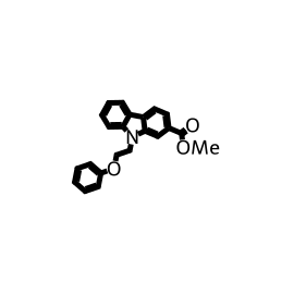 COC(=O)c1ccc2c3ccccc3n(CCOc3ccccc3)c2c1